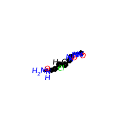 Cc1c(-c2ccn3c(=O)c(CNC[C@@H]4CCC(=O)N4)cnc3c2)cccc1-c1cccc(-c2ccc3c(c2)C[C@@H](NC(=O)CN)C3)c1Cl